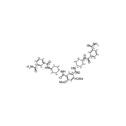 COc1cc(OC)c(C(=O)N[C@H]2CC[C@H](NC(=O)c3cccc(C(N)=O)c3)CC2)cc1C(=O)N[C@H]1CC[C@H](NC(=O)c2cccc(C(N)=O)c2)CC1